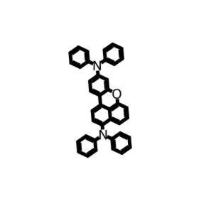 c1ccc(N(c2ccccc2)c2ccc3c(c2)Oc2cccc4c(N(c5ccccc5)c5ccccc5)ccc-3c24)cc1